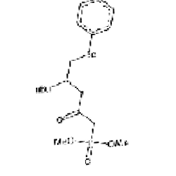 CCCCC(C[Se]c1ccccc1)CC(=O)CP(=O)(OC)OC